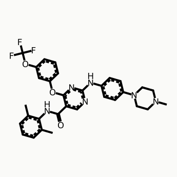 Cc1cccc(C)c1NC(=O)c1cnc(Nc2ccc(N3CCN(C)CC3)cc2)nc1Oc1cccc(OC(F)(F)F)c1